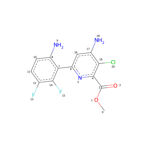 COC(=O)c1nc(-c2c(N)ccc(F)c2F)cc(N)c1Cl